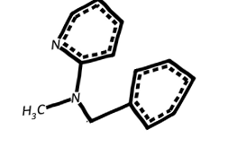 CN([CH]c1ccccc1)c1ccccn1